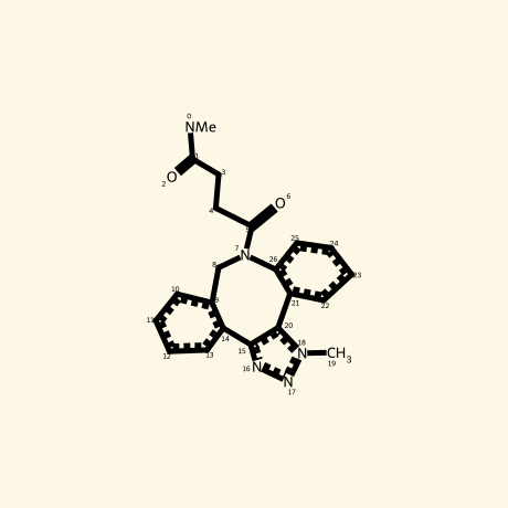 CNC(=O)CCC(=O)N1Cc2ccccc2-c2nnn(C)c2-c2ccccc21